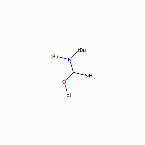 CCOC([SiH3])N(C(C)(C)C)C(C)(C)C